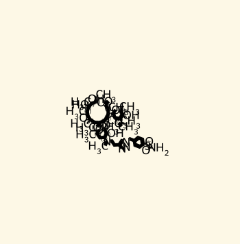 CC[C@H]1OC(=O)[C@H](C)C([C@H]2C[C@@](C)(OC)[C@@H](O)[C@H](C)O2)[C@H](C)[C@@H](O[C@@H]2O[C@H](C)C[C@H](N(C)CCc3cn(Cc4ccc(S(N)(=O)=O)cc4)nn3)[C@H]2O)[C@](C)(OC)C[C@@H](C)C(=O)[C@H](C)[C@@H](O)[C@]1(C)O